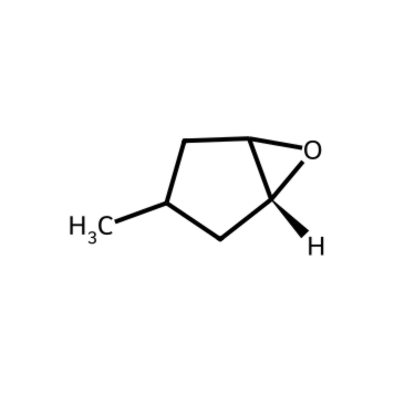 CC1CC2O[C@@H]2C1